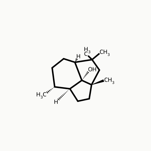 C[C@@H]1CC[C@H]2C(C)(C)C[C@]3(C)CC[C@@H]1[C@@]23O